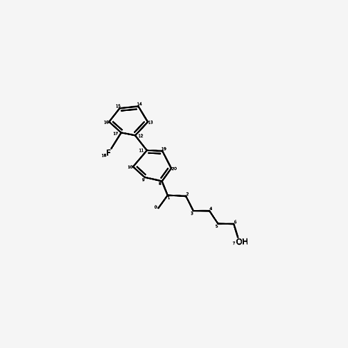 CC(CCCCCO)c1ccc(-c2ccccc2F)cc1